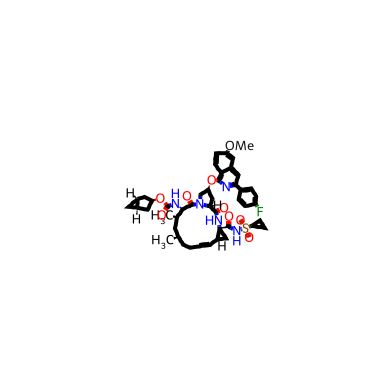 COc1ccc2c(O[C@@H]3C[C@H]4C(=O)N[C@]5(C(=O)NS(=O)(=O)C6CC6)C[C@H]5/C=C\CC[C@@H](C)C[C@@H](C)[C@H](NC(=O)O[C@@H]5C[C@@H]6C[C@@H]6C5)C(=O)N4C3)nc(-c3ccc(F)cc3)cc2c1